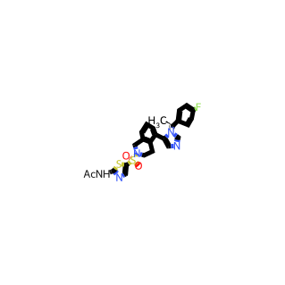 CC(=O)Nc1ncc(S(=O)(=O)N2CCc3c(cccc3-c3cncn3[C@H](C)c3ccc(F)cc3)C2)s1